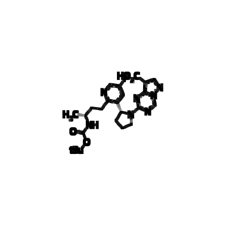 C[C@H](CCc1ncc(F)cc1[C@H]1CCCN1c1ncn2ncc(C(=O)O)c2n1)NC(=O)OC(C)(C)C